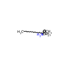 CCCCCCCCCCCCCCCCCCC(C)(N)c1cccc(C)c1C